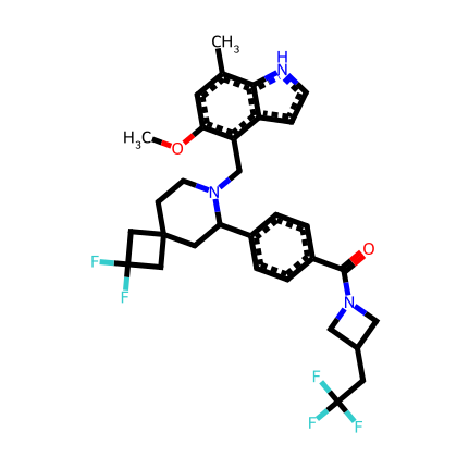 COc1cc(C)c2[nH]ccc2c1CN1CCC2(CC1c1ccc(C(=O)N3CC(CC(F)(F)F)C3)cc1)CC(F)(F)C2